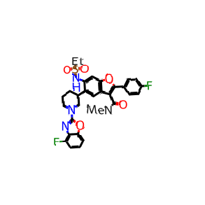 CCS(=O)(=O)Nc1cc2oc(-c3ccc(F)cc3)c(C(=O)NC)c2cc1C1CCCN(c2nc3c(F)cccc3o2)C1